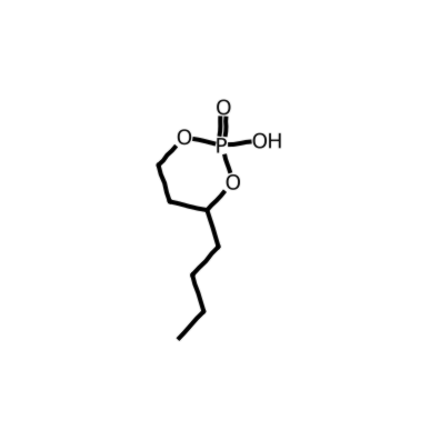 CCCCC1CCOP(=O)(O)O1